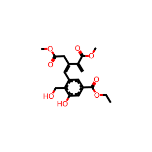 C=C(C(=O)OC)/C(=C\c1cc(C(=O)OCC)cc(O)c1CO)CC(=O)OC